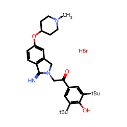 Br.CN1CCC(Oc2ccc3c(c2)CN(CC(=O)c2cc(C(C)(C)C)c(O)c(C(C)(C)C)c2)C3=N)CC1